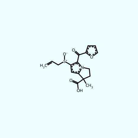 C=CC[S+]([O-])c1cc2n(c1C(=O)c1ccco1)CCC2(C)C(=O)O